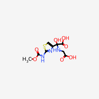 COC(=O)Nc1nc(C(O)(NCC(=O)O)C(=O)O)cs1